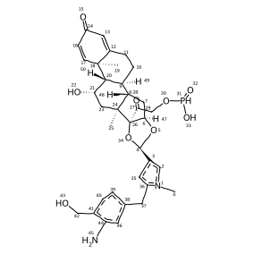 Cn1cc([C@@H]2O[C@@H]3C[C@H]4[C@@H]5CCC6=CC(=O)C=C[C@]6(C)[C@H]5[C@@H](O)C[C@]4(C)[C@]3(C(=O)CO[PH](=O)O)O2)cc1Cc1ccc(CO)c(N)c1